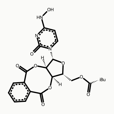 CC[C@@H](C)C(=O)OC[C@H]1O[C@@H](n2ccc(NO)nc2=O)[C@@H]2OC(=O)c3ccccc3C(=O)O[C@@H]21